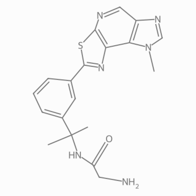 Cn1cnc2cnc3sc(-c4cccc(C(C)(C)NC(=O)CN)c4)nc3c21